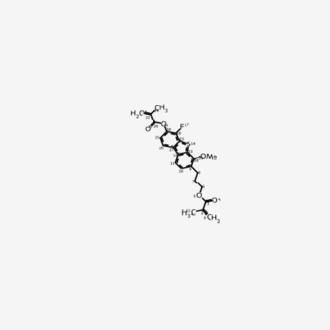 C=C(C)C(=O)OCCCc1ccc2c(sc3c(F)c(OC(=O)C(=C)C)ccc32)c1OC